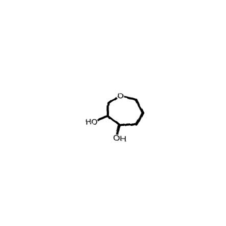 OC1CCCOCC1O